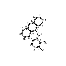 Cc1cccc(Oc2c3ccccc3cc3ccccc23)c1C